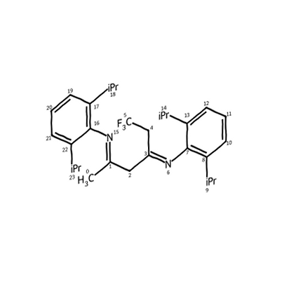 CC(CC(CC(F)(F)F)=Nc1c(C(C)C)cccc1C(C)C)=Nc1c(C(C)C)cccc1C(C)C